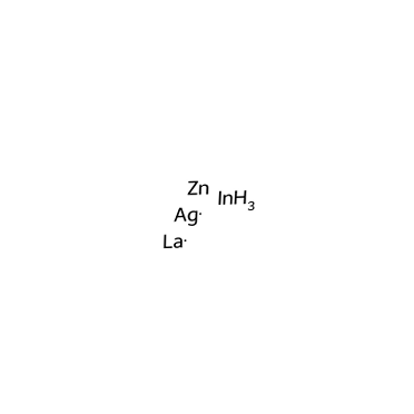 [Ag].[InH3].[La].[Zn]